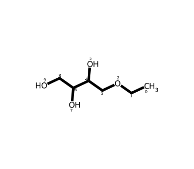 CCOCC(O)C(O)CO